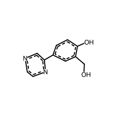 OCc1cc(-c2cnccn2)ccc1O